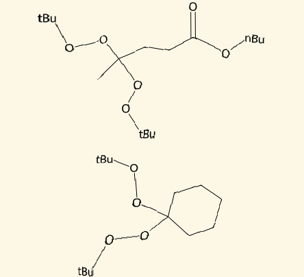 CC(C)(C)OOC1(OOC(C)(C)C)CCCCC1.CCCCOC(=O)CCC(C)(OOC(C)(C)C)OOC(C)(C)C